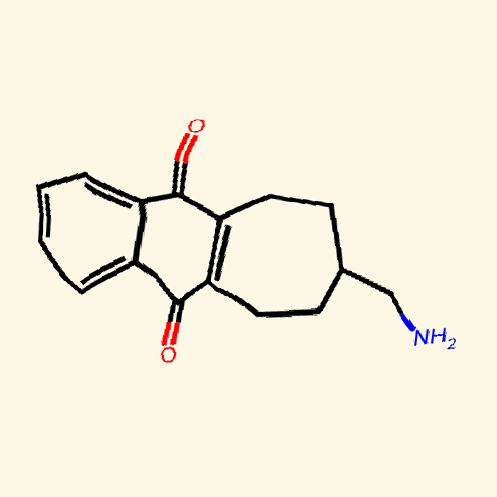 NCC1CCC2=C(CC1)C(=O)c1ccccc1C2=O